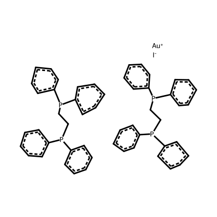 [Au+].[I-].c1ccc(P(CCP(c2ccccc2)c2ccccc2)c2ccccc2)cc1.c1ccc(P(CCP(c2ccccc2)c2ccccc2)c2ccccc2)cc1